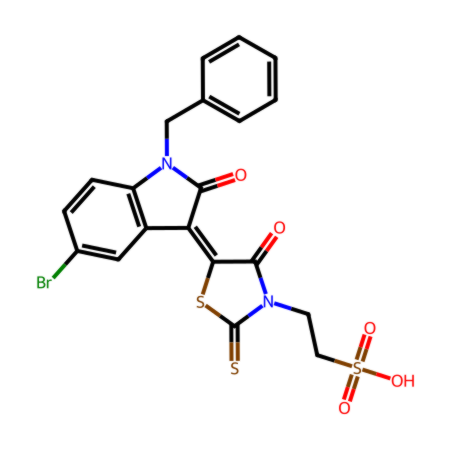 O=C1/C(=C2\C(=O)N(Cc3ccccc3)c3ccc(Br)cc32)SC(=S)N1CCS(=O)(=O)O